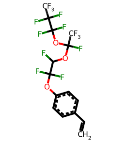 C=Cc1ccc(OC(F)(F)C(F)OC(F)(OC(F)(F)C(F)(F)C(F)(F)F)C(F)(F)F)cc1